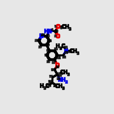 COC(=O)Nc1cc(-c2ccc(OC[C@@](C)(N)CC(C)C)c(CN(C)C)c2)ccn1